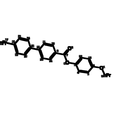 CCCOc1ccc(OC(=O)c2ccc(-c3ccc(CCC)cc3)cc2)cc1